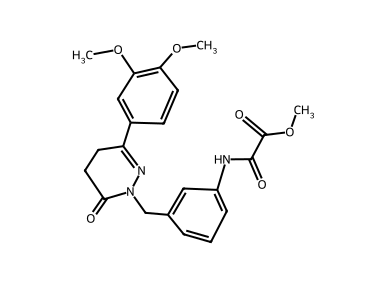 COC(=O)C(=O)Nc1cccc(CN2N=C(c3ccc(OC)c(OC)c3)CCC2=O)c1